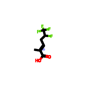 C/C(=C\CC(F)C(F)(F)F)C(=O)O